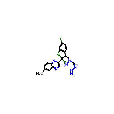 Cc1ccc2nc(C(F)(F)C(CN(N)/C=N\N)c3ccc(F)cc3F)cnc2c1